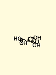 O=C(O)[C@H]1C[C@H](CCB(O)O)CC[C@@H]1O